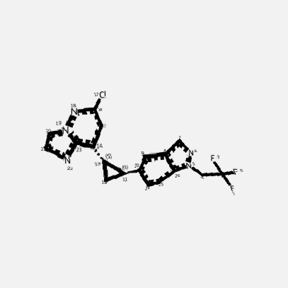 FC(F)(F)Cn1ncc2cc([C@H]3C[C@@H]3c3cc(Cl)nn4ccnc34)ccc21